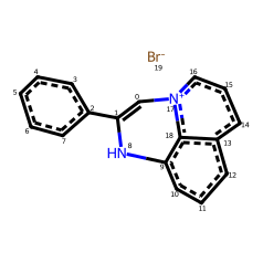 C1=C(c2ccccc2)Nc2cccc3ccc[n+]1c23.[Br-]